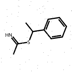 CC(=N)SC(C)c1ccccc1